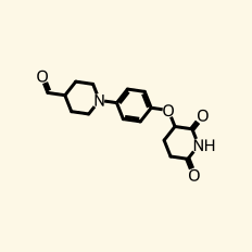 O=CC1CCN(c2ccc(OC3CCC(=O)NC3=O)cc2)CC1